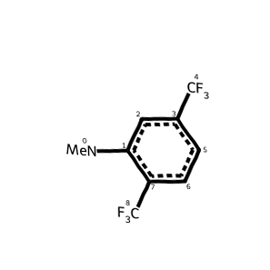 CNc1cc(C(F)(F)F)ccc1C(F)(F)F